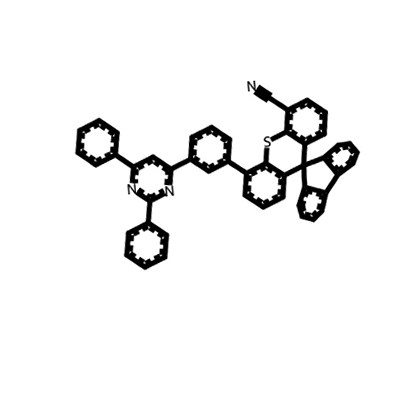 N#Cc1cccc2c1Sc1c(-c3cccc(-c4cc(-c5ccccc5)nc(-c5ccccc5)n4)c3)cccc1C21c2ccccc2-c2ccccc21